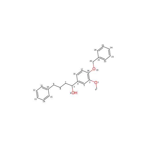 COc1cc(C(O)CCCc2ccccc2)ccc1OCc1ccccc1